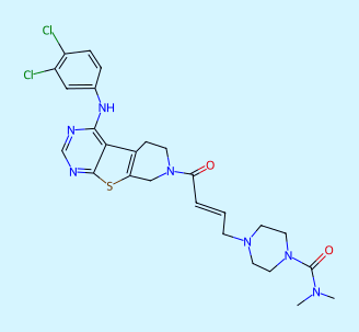 CN(C)C(=O)N1CCN(C/C=C/C(=O)N2CCc3c(sc4ncnc(Nc5ccc(Cl)c(Cl)c5)c34)C2)CC1